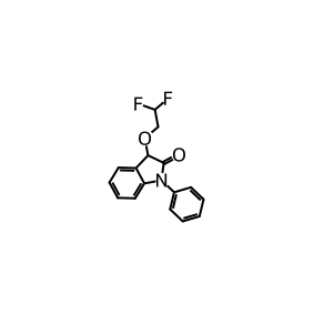 O=C1C(OCC(F)F)c2ccccc2N1c1ccccc1